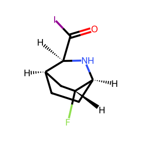 O=C(I)[C@H]1N[C@H]2CC[C@@H]1C[C@H]2F